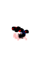 Bc1c(B)c(B)c(-c2cccc(-c3nc(-c4ccccc4)nc(-c4ccc5c(c4)oc4c(-c6cccc7c6oc6ccccc67)cccc45)n3)c2)c(B)c1B